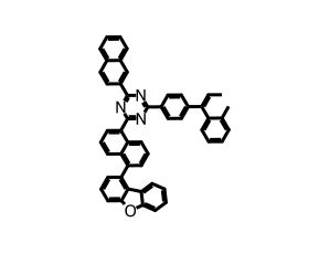 C/C=C(/c1ccc(-c2nc(-c3ccc4ccccc4c3)nc(-c3cccc4c(-c5cccc6oc7ccccc7c56)cccc34)n2)cc1)c1ccccc1C